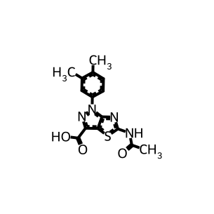 CC(=O)Nc1nc2c(s1)c(C(=O)O)nn2-c1ccc(C)c(C)c1